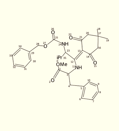 COC(=O)C(Cc1ccccc1)NC(=C1C(=O)CC(C)(C)CC1=O)C(NC(=O)OCc1ccccc1)C(C)C